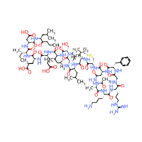 CCCC(=O)[C@H](CC(C)C)NC(=O)[C@H](CC(=O)O)NC(=O)[C@@H](NC(=O)[C@H](CCC(=O)O)NC(=O)[C@H](CCC(=O)O)NC(=O)[C@@H](NC(=O)[C@H](CO)NC(=O)[C@H](CC(C)C)NC(=O)[C@H](CC(C)C)NC(=O)[C@H](CC(C)C)NC(=O)[C@H](CS)NC(=O)[C@H](CC(N)=O)NC(=O)[C@H](Cc1ccccc1)NC(=O)CNC(=O)[C@H](CCCNC(=N)N)NC(=O)[C@H](CCCCN)NC(=O)[C@H](C)NC(C)=O)[C@@H](C)CC)[C@@H](C)CC